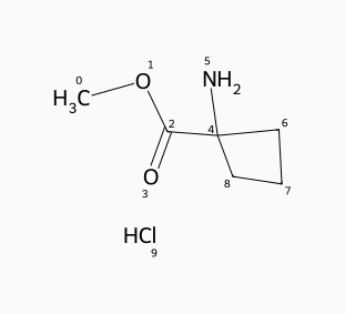 COC(=O)C1(N)CCC1.Cl